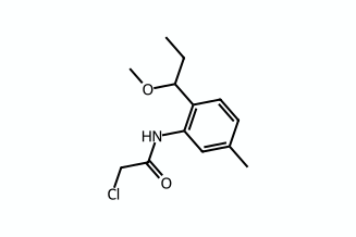 CCC(OC)c1ccc(C)cc1NC(=O)CCl